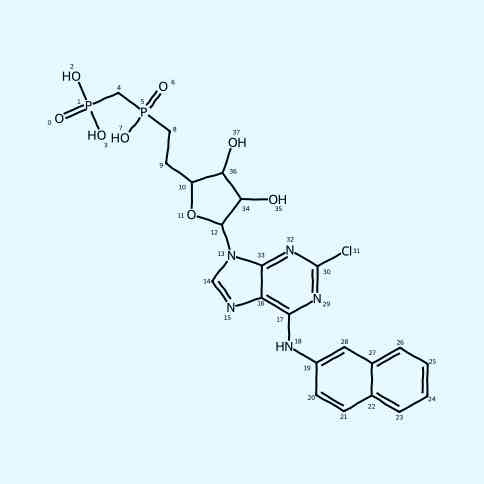 O=P(O)(O)CP(=O)(O)CCC1OC(n2cnc3c(Nc4ccc5ccccc5c4)nc(Cl)nc32)C(O)C1O